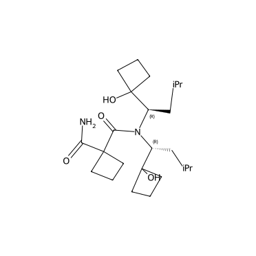 CC(C)C[C@@H](N(C(=O)C1(C(N)=O)CCC1)[C@H](CC(C)C)C1(O)CCC1)C1(O)CCC1